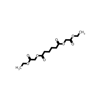 CCOC(=O)COC(=O)CCCCC(=O)OCC(=O)OCC